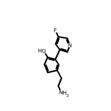 NCCc1ccc(O)c(-c2cncc(F)c2)c1